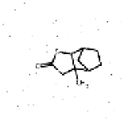 CC12CC(=O)SC1C1CCC2C1